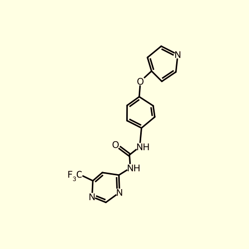 O=C(Nc1ccc(Oc2ccncc2)cc1)Nc1cc(C(F)(F)F)ncn1